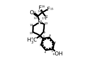 CC1(c2ccc(O)cc2)CCN(C(=O)C(F)(F)F)CC1